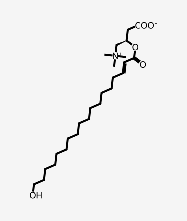 C[N+](C)(C)C[C@@H](CC(=O)[O-])OC(=O)C=CCCCCCCCCCCCCCCCO